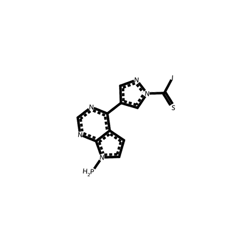 Pn1ccc2c(-c3cnn(C(=S)I)c3)ncnc21